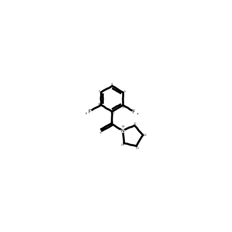 C=C(c1c(F)cccc1F)N1CCCC1